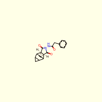 O=C(Cc1ccccc1)NN1C(=O)[C@@H]2C3C=CC(C4CC43)[C@@H]2C1=O